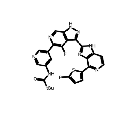 CC(C)(C)C(=O)Nc1cncc(-c2ncc3[nH]nc(-c4nc5c(-c6ccc(F)s6)nccc5[nH]4)c3c2F)c1